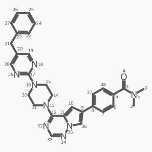 CN(C)C(=O)c1ccc(-c2cc3c(N4CCN(c5ncc(Cc6ccccc6)cn5)CC4)ncnn3c2)cc1